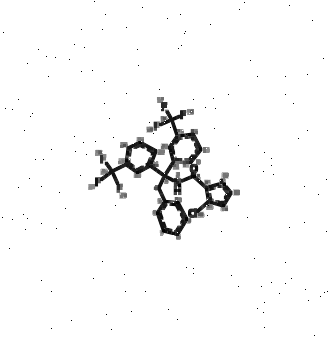 O=C(NC(Cc1ccccc1)(c1cccc(C(F)(F)F)c1)c1cccc(C(F)(F)F)c1)c1sccc1Cl